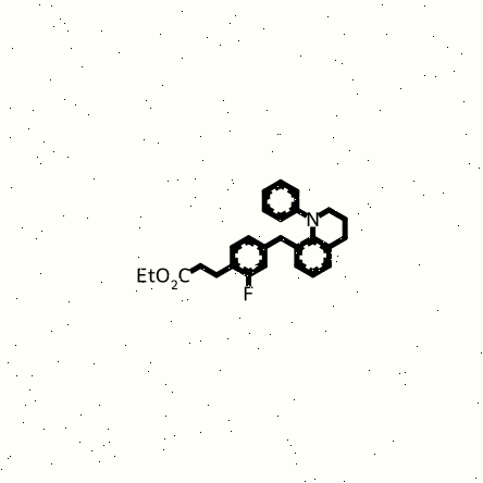 CCOC(=O)CCc1ccc(Cc2cccc3c2N(c2ccccc2)CCC3)cc1F